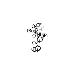 CC(C)[C@@H]1CCN(C(=O)c2cccn3cncc23)C[C@H]1NC(=O)[C@@H](NC(=O)C(F)(F)F)C(C)(C)C